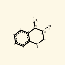 C[C@@H]1c2ccccc2OC[C@H]1O